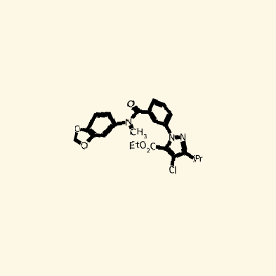 CCOC(=O)c1c(Cl)c(C(C)C)nn1-c1cccc(C(=O)N(C)c2ccc3c(c2)OCO3)c1